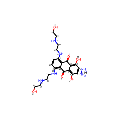 NN.O=C1c2c(O)ccc(O)c2C(=O)c2c(NCCNCCO)ccc(NCCNCCO)c21.[Pt]